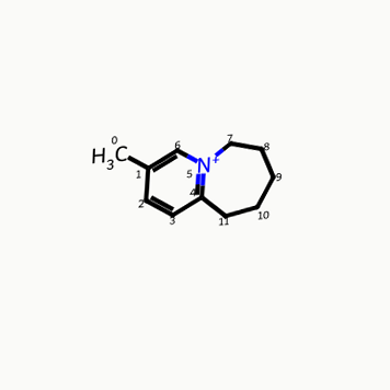 Cc1ccc2[n+](c1)CCCCC2